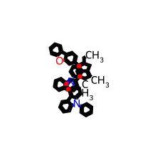 CC/C1=C(c2ccc3c(c2)oc2ccccc23)/C=C(/c2ccccc2)C(C)/C(C)=C(\c2cccc(-n3c4ccccc4c4c5c6ccccc6n(-c6ccccc6)c5ccc43)c2)C1